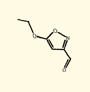 CCOc1cc(C=O)no1